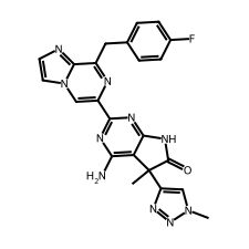 Cn1cc(C2(C)C(=O)Nc3nc(-c4cn5ccnc5c(Cc5ccc(F)cc5)n4)nc(N)c32)nn1